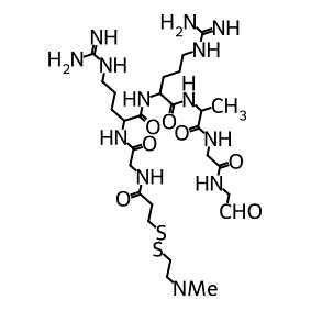 CNCCSSCCC(=O)NCC(=O)NC(CCCNC(=N)N)C(=O)NC(CCCNC(=N)N)C(=O)NC(C)C(=O)NCC(=O)NCC=O